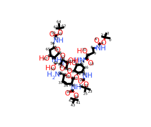 CC(C)(C)OC(=O)NCC[C@H](O)C(=O)N[C@@H]1C[C@H](NC(=O)OC(C)(C)C)[C@@H](O[C@H]2O[C@H](CN)C=C[C@H]2NC(=O)OC(C)(C)C)[C@H](O[C@@H]2O[C@H](CO)[C@@H](O[C@H]3O[C@@H](CNC(=O)OC(C)(C)C)C[C@H](O)[C@H]3N)[C@H]2O)[C@H]1O